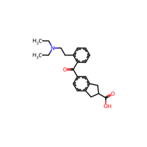 CCN(CC)CCc1ccccc1C(=O)c1ccc2c(c1)CC(C(=O)O)C2